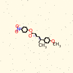 CC/C(=C\C=C\C(=O)Oc1ccc([N+](=O)[O-])cc1)c1ccc(OC)cc1